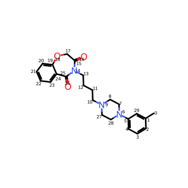 Cc1cccc(N2CCN(CCCCN3C(=O)COc4ccccc4C3=O)CC2)c1